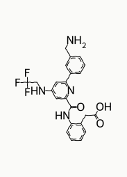 NCc1cccc(-c2cc(NCC(F)(F)F)cc(C(=O)Nc3ccccc3CC(=O)O)n2)c1